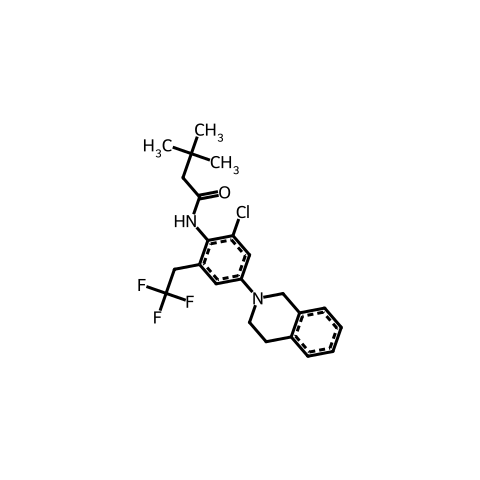 CC(C)(C)CC(=O)Nc1c(Cl)cc(N2CCc3ccccc3C2)cc1CC(F)(F)F